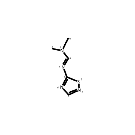 CN(C)C=Nc1n[c]ns1